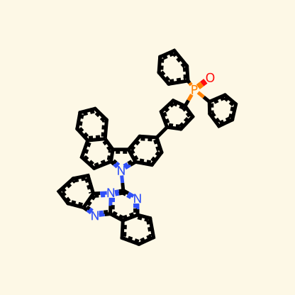 O=P(c1ccccc1)(c1ccccc1)c1ccc(-c2ccc3c(c2)c2c4ccccc4ccc2n3-c2nc3ccccc3c3nc4ccccc4n23)cc1